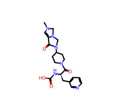 CN1C=C2C(=O)N(C3CCN(C(=O)[C@@H](Cc4cccnc4)NC(=O)O)CC3)CN2C1